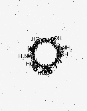 CCCC[C@H]1C(=O)N(C)[C@@H](CCCC)C(=O)N[C@@H](CC(=O)O)C(=O)N[C@H](C(=O)NCC(N)=O)CSCC(=O)N[C@@H](Cc2ccc(O)cc2)C(=O)N2CCCC[C@H]2C(=O)N[C@@H](CC(=O)O)C(=O)N2CCC[C@H]2C(=O)N[C@@H](Cc2cnc[nH]2)C(=O)N[C@@H](CCCCN)C(=O)N2C[C@H](O)C[C@H]2C(=O)N[C@@H](Cc2c[nH]c3ccccc23)C(=O)N[C@@H](CCCCN)C(=O)N[C@@H](Cc2cn(CC(=O)O)c3ccccc23)C(=O)N1C